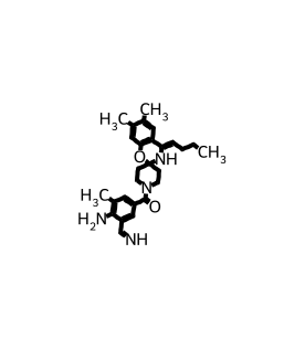 CCC/C=C1\NC2(CCN(C(=O)c3cc(C)c(N)c(C=N)c3)CC2)Oc2cc(C)c(C)cc21